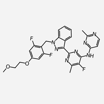 COCCOc1cc(F)c(Cn2nc(-c3nc(C)c(F)c(Nc4ccnc(C)n4)n3)c3ccccc32)c(F)c1